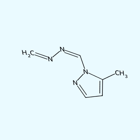 C=N/N=C\n1nccc1C